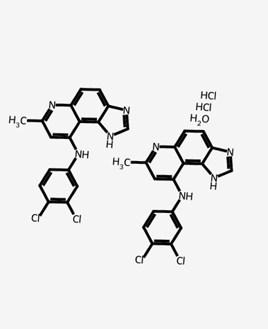 Cc1cc(Nc2ccc(Cl)c(Cl)c2)c2c(ccc3nc[nH]c32)n1.Cc1cc(Nc2ccc(Cl)c(Cl)c2)c2c(ccc3nc[nH]c32)n1.Cl.Cl.O